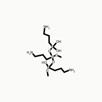 CO[Si](O)(CCCN)O[Si](CCCN)(OC)O[Si](O)(O)CCCN